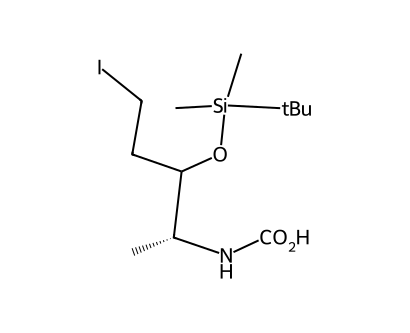 C[C@@H](NC(=O)O)C(CCI)O[Si](C)(C)C(C)(C)C